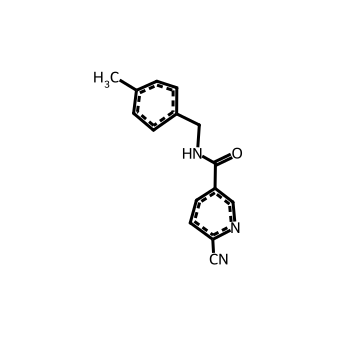 Cc1ccc(CNC(=O)c2ccc(C#N)nc2)cc1